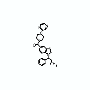 CCC(c1ccccc1)n1cnc2cc(C(=O)N3CCN(c4cnccn4)CC3)ccc21